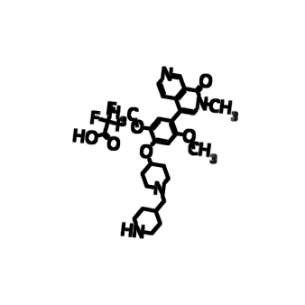 COc1cc(-c2cn(C)c(=O)c3cnccc23)c(OC)cc1OC1CCN(CC2CCNCC2)CC1.O=C(O)C(F)(F)F